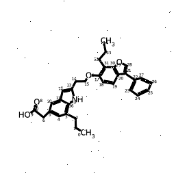 CCCc1cc(CC(=O)O)cc2cc(CCOc3ccc4c(-c5ccccc5)coc4c3CCC)[nH]c12